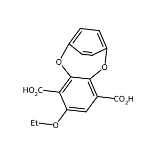 CCOc1cc(C(=O)O)c2oc3ccc(cc3)oc2c1C(=O)O